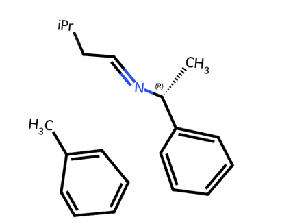 CC(C)CC=N[C@H](C)c1ccccc1.Cc1ccccc1